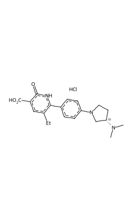 CCc1cc(C(=O)O)c(=O)[nH]c1-c1ccc(N2CC[C@H](N(C)C)C2)cc1.Cl